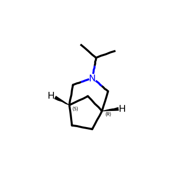 CC(C)N1C[C@@H]2CC[C@@H](C2)C1